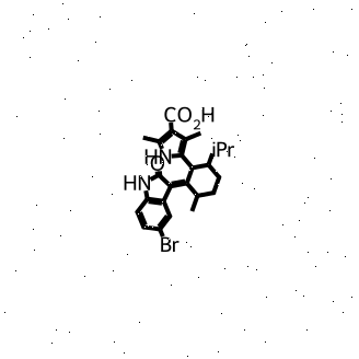 Cc1[nH]c(C2/C(=C3\C(=O)Nc4ccc(Br)cc43)C(C)CCC2C(C)C)c(C)c1C(=O)O